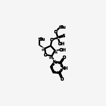 CC(C)(C)C[C@H]1O[C@@H](n2ccc(=O)[nH]c2=O)[C@@H](O)C1OP(O)(=S)OC(C)(C)C